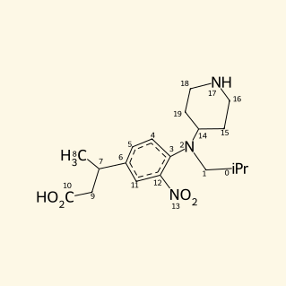 CC(C)CN(c1ccc(C(C)CC(=O)O)cc1[N+](=O)[O-])C1CCNCC1